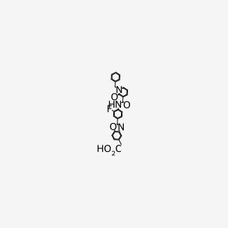 O=C(O)Cc1ccc2oc(-c3ccc(NC(=O)c4cccn(Cc5ccccc5)c4=O)c(F)c3)nc2c1